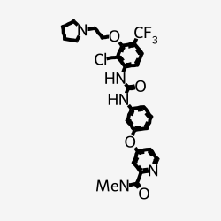 CNC(=O)c1cc(Oc2cccc(NC(=O)Nc3ccc(C(F)(F)F)c(OCCN4CCCC4)c3Cl)c2)ccn1